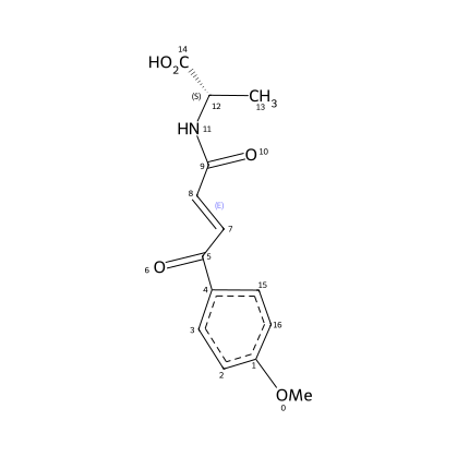 COc1ccc(C(=O)/C=C/C(=O)N[C@@H](C)C(=O)O)cc1